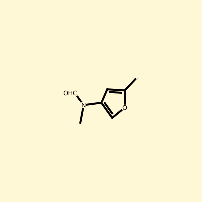 [CH2]c1cc(N(C)C=O)co1